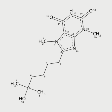 Cn1c(CCCCC(C)(C)O)nc2c1c(=O)[nH]c(=O)n2C